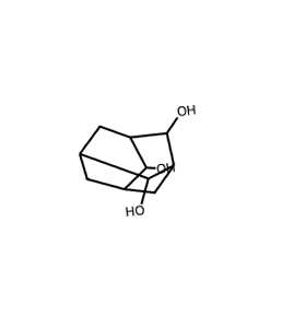 OC1C2CC3CC1C(O)C(C2)C3O